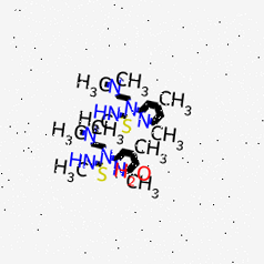 CNC(=S)N(CCN(C)C)c1cc(C)cc(C)n1.CNC(=S)N(CCN(C)C)c1cc(C)cc(C)n1.O